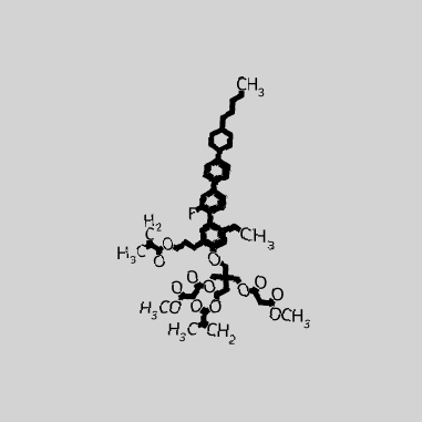 C=C(C)C(=O)OCCCc1cc(-c2ccc(-c3ccc(C4CCC(CCCCC)CC4)cc3)cc2F)c(CC)cc1OCC(CCOC(=O)C(=C)C)(COC(=O)CC(=O)OC)COC(=O)CC(=O)OC